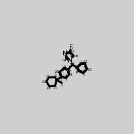 CC1(c2ccc(C(c3ccccc3)n3cnc(F)c3)cc2)CCCCC1